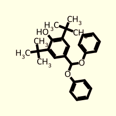 CC(C)(C)c1cc(C(Oc2ccccc2)Oc2ccccc2)cc(C(C)(C)C)c1O